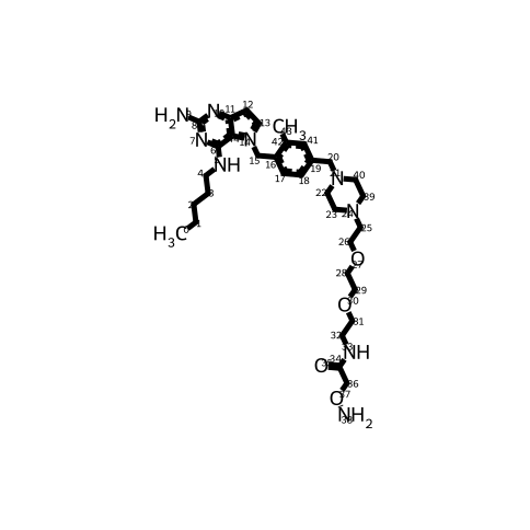 CCCCCNc1nc(N)nc2ccn(Cc3ccc(CN4CCN(CCOCCOCCNC(=O)CON)CC4)cc3C)c12